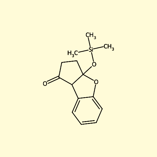 C[Si](C)(C)OC12CCC(=O)C1c1ccccc1O2